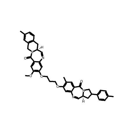 COc1cc2c(cc1OCCCOc1cc3c(cc1C)C(=O)N1CC(c4ccc(C)cc4)C[C@H]1C=N3)N=C[C@@H]1Cc3ccc(C)cc3CN1C2=O